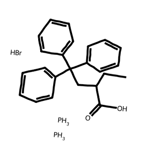 Br.CCC(CC(c1ccccc1)(c1ccccc1)c1ccccc1)C(=O)O.P.P